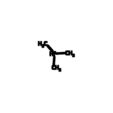 [CH3][Hf]([CH3])[CH3]